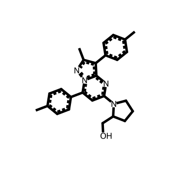 Cc1ccc(-c2c(C)nn3c(-c4ccc(C)cc4)cc(N4CCCC4CO)nc23)cc1